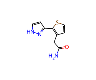 NC(=O)Cc1ccsc1-c1cc[nH]n1